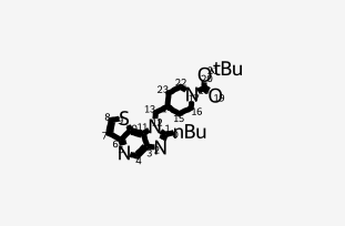 CCCCc1nc2cnc3ccsc3c2n1CC1CCN(C(=O)OC(C)(C)C)CC1